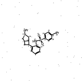 CCCN1CC2CC(c3ccccc3NS(=O)(=O)c3ccc(C(C)C)cc3)C2C1